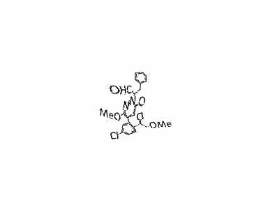 COCC(=O)c1ccc(Cl)cc1-c1cc(=O)n(C(C=O)Cc2ccccc2)nc1OC